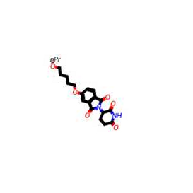 CCCOCCCCCOc1ccc2c(c1)C(=O)N(C1CCC(=O)NC1=O)C2=O